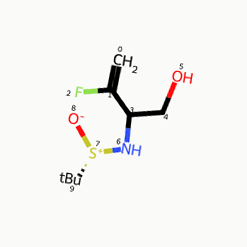 C=C(F)C(CO)N[S@@+]([O-])C(C)(C)C